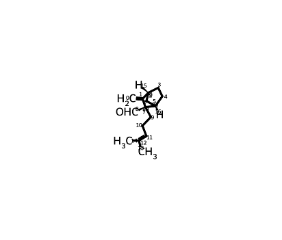 C=C1[C@@H]2CC[C@@H](C2)[C@]1(C=O)CCC=C(C)C